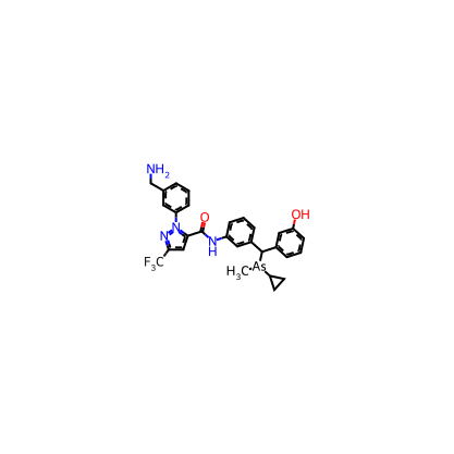 C[As](C1CC1)C(c1cccc(O)c1)c1cccc(NC(=O)c2cc(C(F)(F)F)nn2-c2cccc(CN)c2)c1